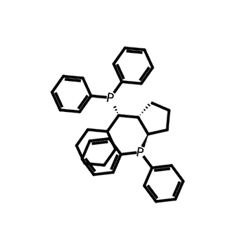 c1ccc(P(c2ccccc2)[C@@H]2CCC[C@H]2[C@H](C2CCCCC2)P(c2ccccc2)c2ccccc2)cc1